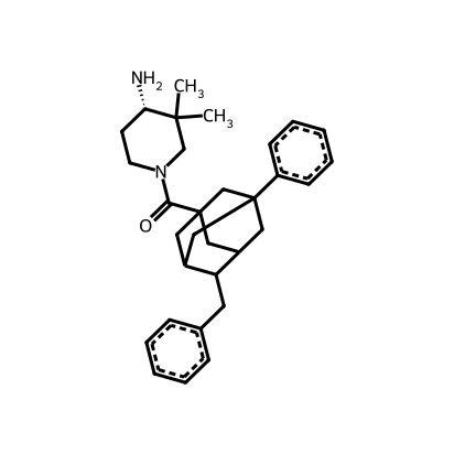 CC1(C)CN(C(=O)C23CC4CC(c5ccccc5)(CC(C2)C4Cc2ccccc2)C3)CC[C@@H]1N